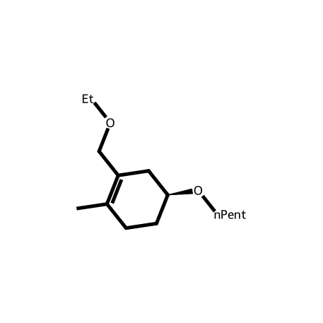 CCCCCO[C@H]1CCC(C)=C(COCC)C1